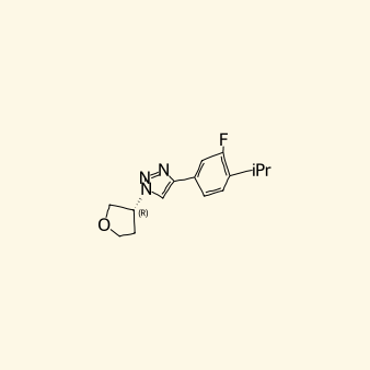 CC(C)c1ccc(-c2cn([C@@H]3CCOC3)nn2)cc1F